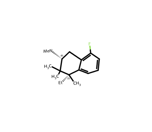 CC[C@@]1(C)c2cccc(F)c2C[C@@H](NC)C1(C)C